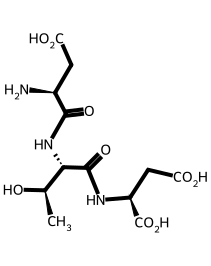 C[C@@H](O)[C@H](NC(=O)[C@@H](N)CC(=O)O)C(=O)N[C@@H](CC(=O)O)C(=O)O